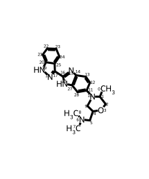 CC1COC(CN(C)C)CN1c1ccc2nc(-c3n[nH]c4ccccc34)[nH]c2c1